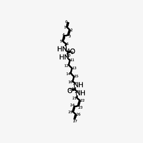 C=C/C=C\C=C/CNC(=O)NCCCCCCNC(=O)NC/C=C\C=C/C=C